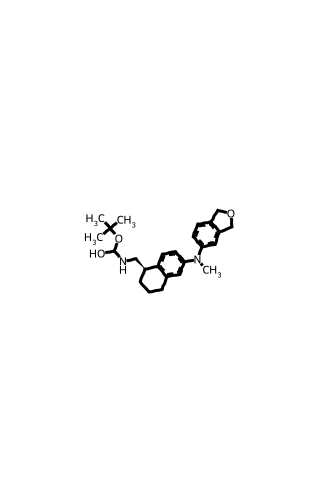 CN(c1ccc2c(c1)COC2)c1ccc2c(c1)CCC[C@H]2CNC(O)OC(C)(C)C